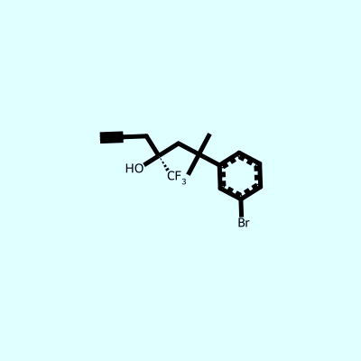 C#CC[C@](O)(CC(C)(C)c1cccc(Br)c1)C(F)(F)F